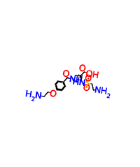 NCCOc1ccc(C(=O)NC[C@H](NS(=O)(=O)CCN)C(=O)O)cc1